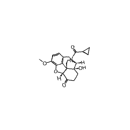 COc1ccc2c3c1O[C@H]1C(=O)CC[C@@]4(O)[C@@H](C2)N(C(=O)C2CC2)CC[C@]314